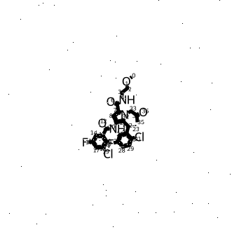 COCCNC(=O)c1cc(NC(=O)c2cc(F)cc(Cl)c2)c([C@H](C)c2cc(F)ccc2Cl)n1CC(C)=O